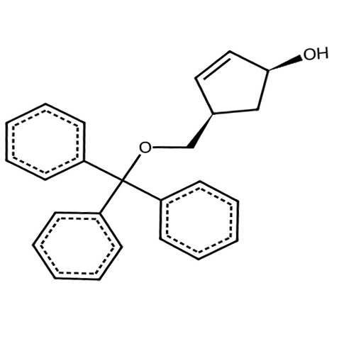 O[C@@H]1C=C[C@H](COC(c2ccccc2)(c2ccccc2)c2ccccc2)C1